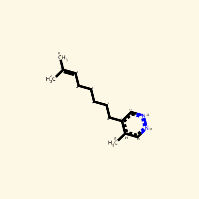 CC(C)=CCCCCCc1cnncc1C